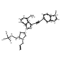 C=CCN1C[C@@H](n2nc(C#Cc3ccc4c(c3)ncn4C)c3c(N)ncnc32)C[C@@H]1COC(F)(F)F